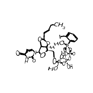 CCCCC1OC2[C@@H](O1)[C@@H](COP(=O)(O)OP(=O)(O)OP(=O)(O)OP(=O)(O)c1ccccc1I)O[C@H]2n1ccc(=O)[nH]c1=O